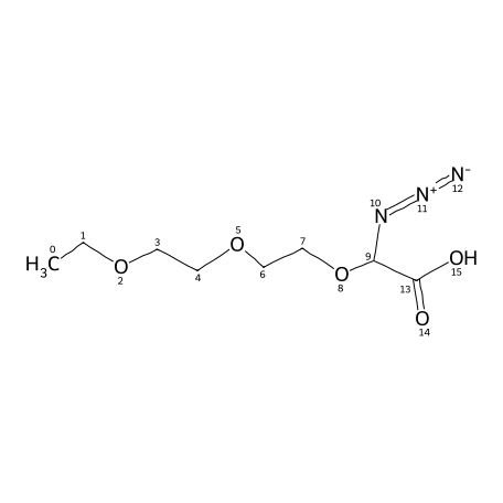 CCOCCOCCOC(N=[N+]=[N-])C(=O)O